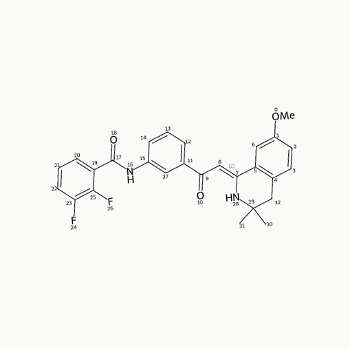 COc1ccc2c(c1)/C(=C/C(=O)c1cccc(NC(=O)c3cccc(F)c3F)c1)NC(C)(C)C2